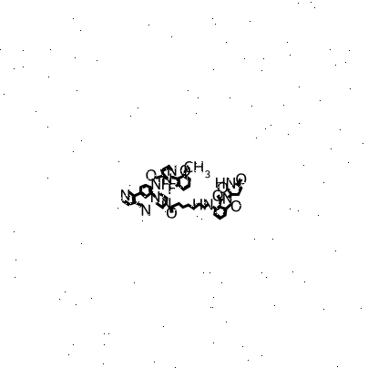 COc1cccc(F)c1-c1nccc(C(=O)Nc2ccc(-c3cnccc3C#N)cc2N2CCN(C(=O)CCCCCCNc3cccc4c3C(=O)N(C3CCC(=O)NC3=O)C4=O)CC2)n1